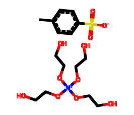 Cc1ccc(S(=O)(=O)[O-])cc1.OCCO[N+](OCCO)(OCCO)OCCO